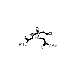 COC(=O)CNP(=O)(CCCl)NCC(=O)OC